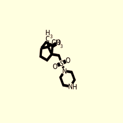 CC1(C)C2CCC1(CS(=O)(=O)N1CCNCC1)C(=O)C2